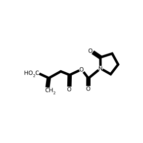 C=C(CC(=O)OC(=O)N1CCCC1=O)C(=O)O